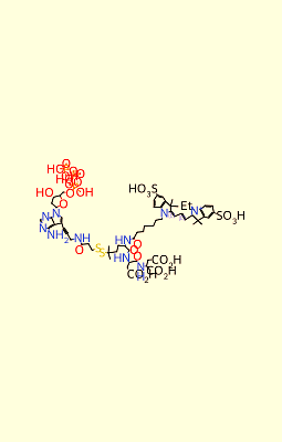 CC[N+]1=C(/C=C/C=C2/N(CCCCCCC(=O)NC(CCC(C)(C)SSCCC(=O)NCC#Cc3cn(C4CC(O)C(COP(=O)(O)OP(=O)(O)OP(=O)(O)O)O4)c4ncnc(N)c34)C(=O)NC(CC(=O)O)C(=O)NC(CC(=O)O)C(=O)O)c3ccc(S(=O)(=O)O)cc3C2(C)C)C(C)(C)c2cc(S(=O)(=O)O)ccc21